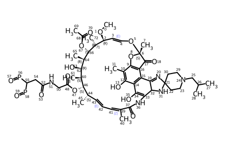 CO[C@H]1/C=C/O[C@@]2(C)Oc3c(C)c(O)c4c(c3C2=O)C2=NC3(CCN(CC(C)C)CC3)NC2C(=C4O)NC(=O)/C(C)=C\C=C\[C@H](C)[C@H](OC(=O)CNC(=O)CC(P=O)P=O)[C@@H](C)[C@@H](O)[C@@H](C)[C@H](OC(C)=O)[C@@H]1C